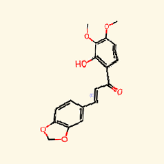 COc1ccc(C(=O)/C=C/c2ccc3c(c2)OCO3)c(O)c1OC